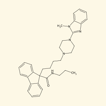 CCCNC(=O)C1(CCCCN2CCN(c3nc4ccccc4n3C)CC2)c2ccccc2-c2ccccc21